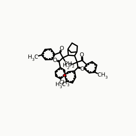 Cc1ccc(C(=O)C(P)(C(=O)c2ccc(C)cc2)C2C3CCC(C3)C2C(P)(C(=O)c2ccc(C)cc2)C(=O)c2ccc(C)cc2)cc1